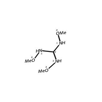 CONC(NOC)NOC